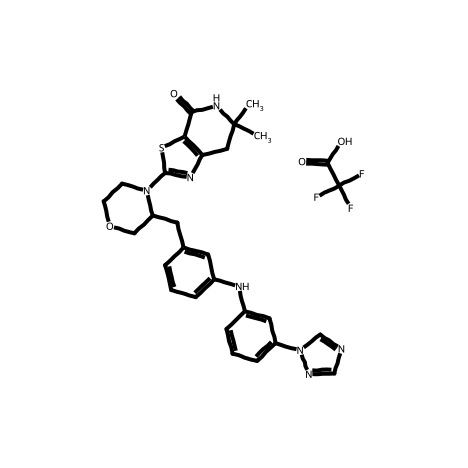 CC1(C)Cc2nc(N3CCOCC3Cc3cccc(Nc4cccc(-n5cncn5)c4)c3)sc2C(=O)N1.O=C(O)C(F)(F)F